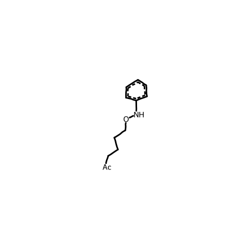 CC(=O)CCCCONc1ccccc1